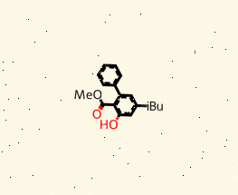 CCC(C)c1cc(O)c(C(=O)OC)c(-c2ccccc2)c1